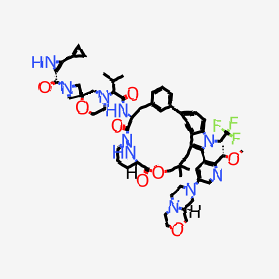 CO[C@@H](C)c1ncc(N2CCN3CCOC[C@@H]3C2)cc1-c1c2c3cc(ccc3n1CC(F)(F)F)-c1cccc(c1)C[C@H](NC(=O)C(C(C)C)N1CCOC3(CN(C(=O)[C@@H]4NC4C4CC4)C3)C1)C(=O)N1CCC[C@H](N1)C(=O)OCC(C)(C)C2